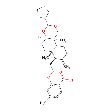 C=C1CCC2[C@]3(C)COC(C4CCCC4)O[C@@H]3CC[C@@]2(C)[C@@H]1CCOc1cc(C)ccc1C(=O)O